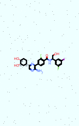 Nc1ncc([C@H]2CC[C@@H](O)[C@@H](O)C2)nc1-c1ccc(C(=O)NC(CO)c2cc(F)cc(I)c2)c(F)c1